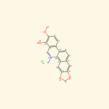 COc1ccc2c(c[n+](C)c3c4cc5c(cc4ccc23)OCO5)c1O.[Cl-]